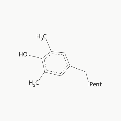 CCCC(C)Cc1cc(C)c(O)c(C)c1